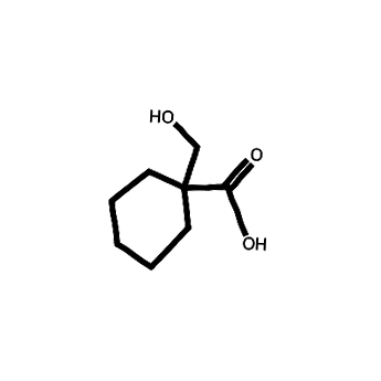 O=C(O)C1(CO)CCCCC1